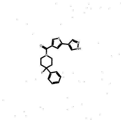 O=C(c1csc(-c2cn[nH]c2)c1)N1CCC(F)(c2ccccc2)CC1